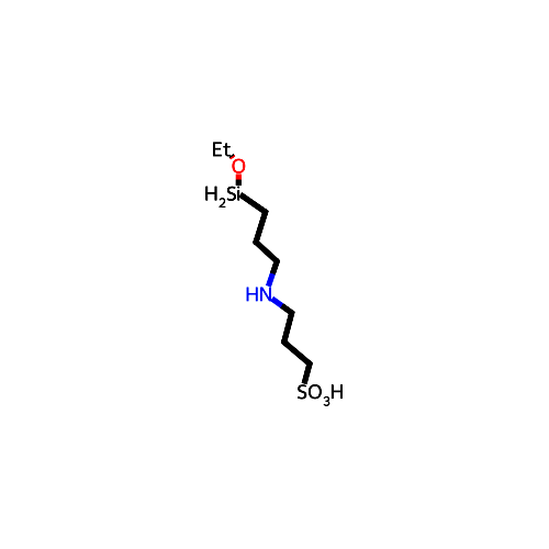 CCO[SiH2]CCCNCCCS(=O)(=O)O